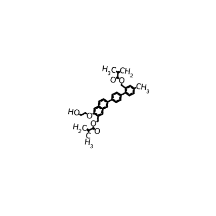 C=C(C)C(=O)OCc1cc2cc(-c3ccc(-c4ccc(C)cc4COC(=O)C(=C)C)cc3)ccc2cc1OCCO